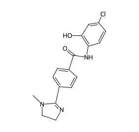 CN1CCN=C1c1ccc(C(=O)Nc2ccc(Cl)cc2O)cc1